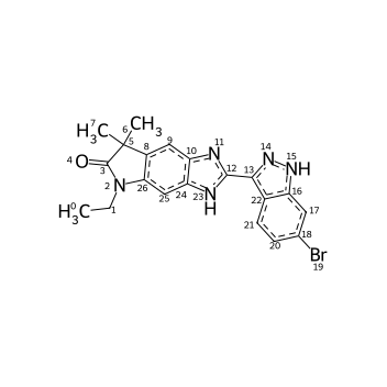 CCN1C(=O)C(C)(C)c2cc3nc(-c4n[nH]c5cc(Br)ccc45)[nH]c3cc21